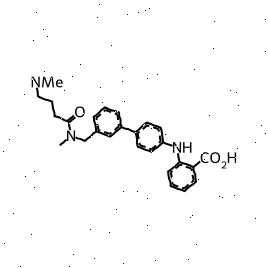 CNCCCC(=O)N(C)Cc1cccc(-c2ccc(Nc3ccccc3C(=O)O)cc2)c1